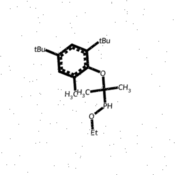 CCOPC(C)(C)Oc1c(C)cc(C(C)(C)C)cc1C(C)(C)C